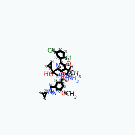 COc1cc(C(=O)NCC(O)(c2cc3c(c(-c4cc(Cl)ccc4Cl)n2)OC[C@]3(C)C(N)=O)C2CC2)cc2cn(C3CC3)nc12